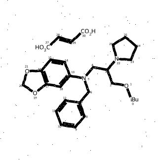 CCC(C)OCC(CN(Cc1ccccc1)c1ccc2c(c1)OCO2)N1CCCC1.O=C(O)/C=C/C(=O)O